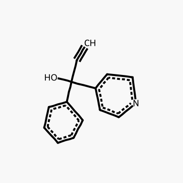 C#CC(O)(c1ccccc1)c1ccncc1